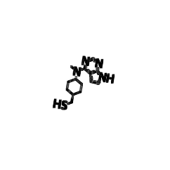 CN(c1ncnc2[nH]ccc12)[C@H]1CC[C@H](CS)CC1